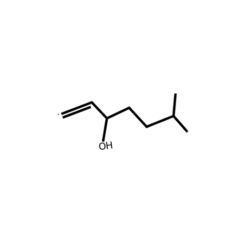 [CH]=CC(O)CCC(C)C